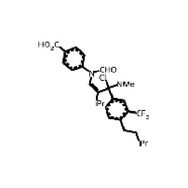 CNC(Cl)(/C(=C\N(C=O)c1ccc(C(=O)O)cc1)C(C)C)c1ccc(CCC(C)C)c(C(F)(F)F)c1